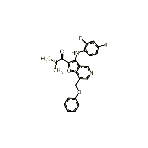 CN(C)C(=O)c1oc2c(COc3ccccc3)cncc2c1Nc1ccc(I)cc1F